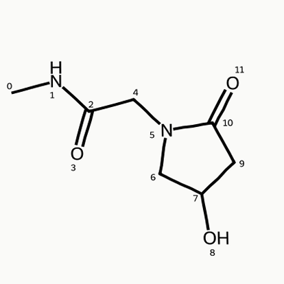 CNC(=O)CN1CC(O)CC1=O